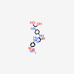 NS(=O)(=O)c1ccc(Nc2ncc(Br)c(NC3CCC(NC(CO)CO)CC3)n2)cc1